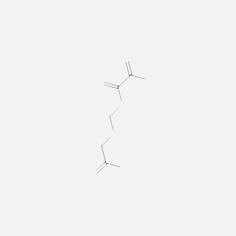 C=C(C)COCOC(=O)C(=C)CC